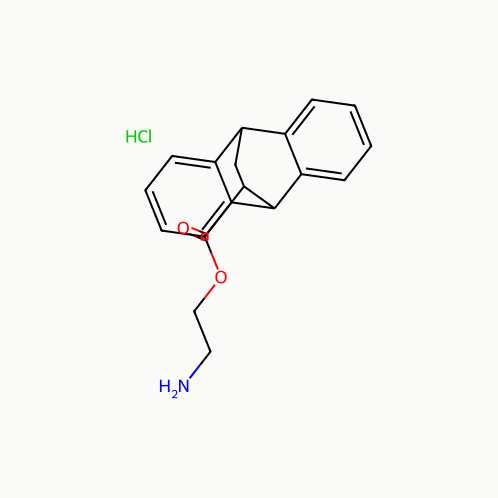 Cl.NCCOC(=O)C1CC2c3ccccc3C1c1ccccc12